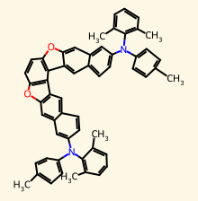 Cc1ccc(N(c2ccc3cc4c(cc3c2)oc2ccc3oc5cc6cc(N(c7ccc(C)cc7)c7c(C)cccc7C)ccc6cc5c3c24)c2c(C)cccc2C)cc1